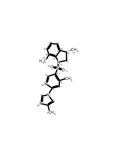 Cc1cn(-c2cc(C)c(S(=O)(=O)N3C[C@@H](C)c4cccc(C)c43)cn2)cn1